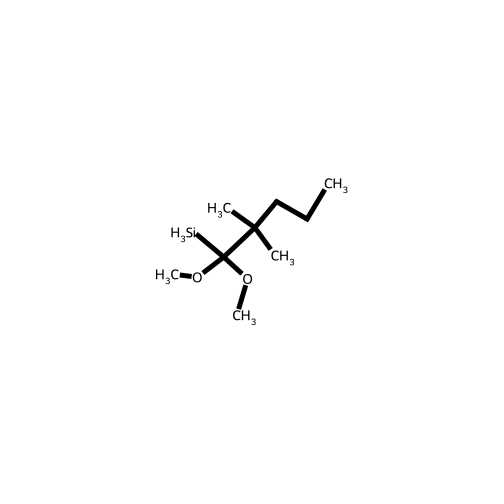 CCCC(C)(C)C([SiH3])(OC)OC